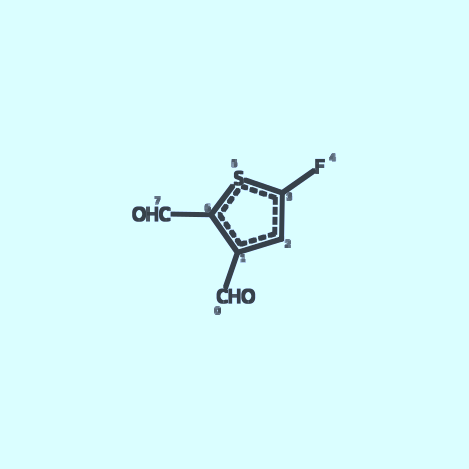 O=Cc1cc(F)sc1C=O